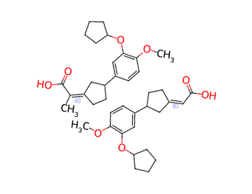 COc1ccc(C2CC/C(=C(\C)C(=O)O)C2)cc1OC1CCCC1.COc1ccc(C2CC/C(=C\C(=O)O)C2)cc1OC1CCCC1